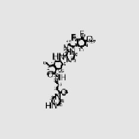 CCc1cc(Nc2nccn3c(-c4ccc(OC)c(F)c4F)cnc23)ccc1C(=O)NCCCC(=O)N1CCNCC1